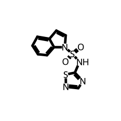 O=S(=O)(Nc1ncns1)n1ccc2ccccc21